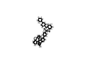 c1ccc(-c2ccc(-c3nc(-c4ccc(-c5ccc6c(c5)C5(c7ccccc7Oc7ccccc75)c5ccccc5-6)cc4)nc4ccccc34)cc2)cc1